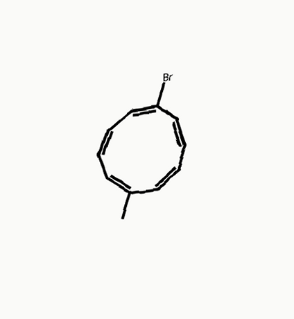 Cc1ccccc(Br)cccc1